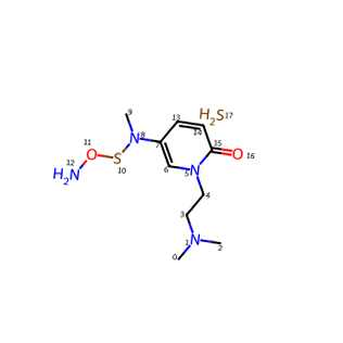 CN(C)CCn1cc(N(C)SON)ccc1=O.S